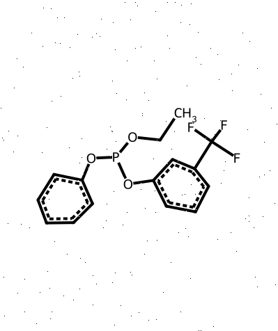 CCOP(Oc1ccccc1)Oc1cccc(C(F)(F)F)c1